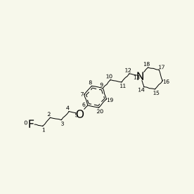 FCCCCOc1ccc(CCCN2CCCCC2)cc1